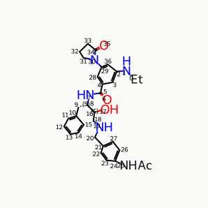 CCNc1cc(C(=O)N[C@@H](Cc2ccccc2)[C@@H](O)CNCc2ccc(NC(C)=O)cc2)cc(N2CCCC2=O)c1